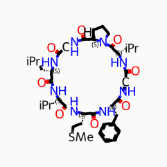 CSCC[C@@H]1NC(=O)[C@H](C(C)C)NC(=O)[C@H](CC(C)C)NC(=O)CNC(=O)[C@@H]2CCCN2C(=O)[C@H](C(C)C)NC(=O)CNC(=O)[C@H](Cc2ccccc2)NC1=O